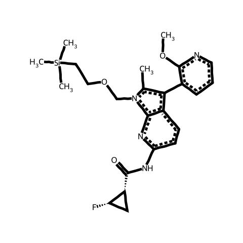 COc1ncccc1-c1c(C)n(COCC[Si](C)(C)C)c2nc(NC(=O)[C@@H]3C[C@@H]3F)ccc12